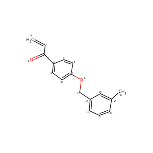 C=CC(=O)c1ccc(OCc2cccc(C)c2)cc1